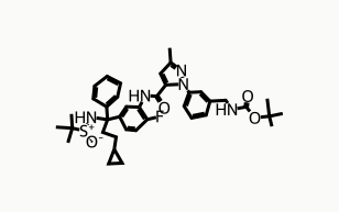 Cc1cc(C(=O)Nc2cc(C(CCC3CC3)(N[S@+]([O-])C(C)(C)C)c3ccccc3)ccc2F)n(-c2cccc(CNC(=O)OC(C)(C)C)c2)n1